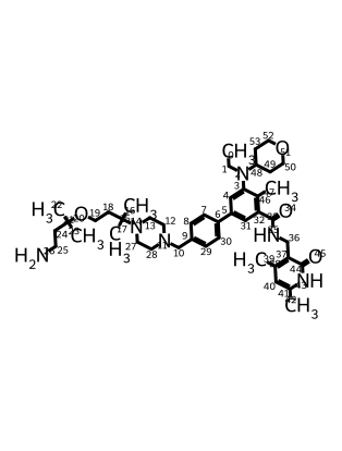 CCN(c1cc(-c2ccc(CN3CCN(C(C)(C)CCOC(C)(C)CCN)CC3)cc2)cc(C(=O)NCc2c(C)cc(C)[nH]c2=O)c1C)C1CCOCC1